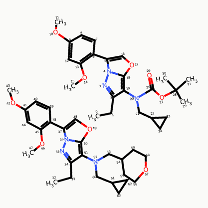 CCc1nn2c(-c3ccc(OC)cc3OC)coc2c1N(CC1CC1)C(=O)OC(C)(C)C.CCc1nn2c(-c3ccc(OC)cc3OC)coc2c1N(CC1CCOCC1)CC1CC1